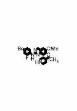 COc1cc2cnc(Nc3ccc(Br)cc3F)nc2cc1OC(C)C1CCNCC1